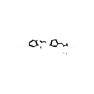 COC(=O)C(Cc1ccc(OCc2nc3ccc(OC)cc3n2C)cc1)NS(C)(=O)=O